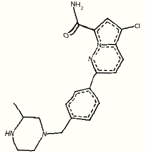 CC1CN(Cc2ccc(-c3ccc4c(Cl)cc(C(N)=O)n4n3)cc2)CCN1